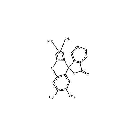 Cc1cc2c(cc1C)C1(OC(=O)c3ccccc31)c1cc(C)c(C)cc1O2